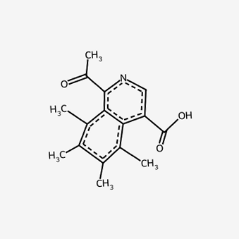 CC(=O)c1ncc(C(=O)O)c2c(C)c(C)c(C)c(C)c12